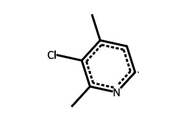 Cc1c[c]nc(C)c1Cl